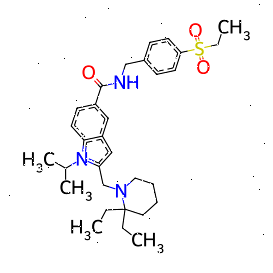 CCC1(CC)CCCCN1Cc1cc2cc(C(=O)NCc3ccc(S(=O)(=O)CC)cc3)ccc2n1C(C)C